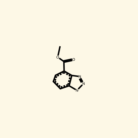 COC(=O)c1cccc2c1N=N[N]2